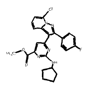 COC(=O)c1cc(-c2c(-c3ccc(F)cc3)nn3c(Cl)cccc23)nc(NC2CCCC2)n1